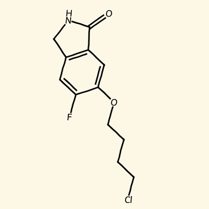 O=C1NCc2cc(F)c(OCCCCCl)cc21